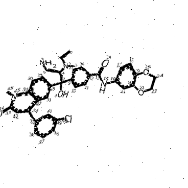 C=CN(C)/C(=C\N)C(O)(c1ccc(C(=O)Nc2ccc3c(c2)OCCO3)cc1)c1ccc2c(c1)c(-c1cccc(Cl)c1)cc(=O)n2C